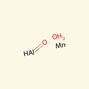 O.[Mn].[O]=[AlH]